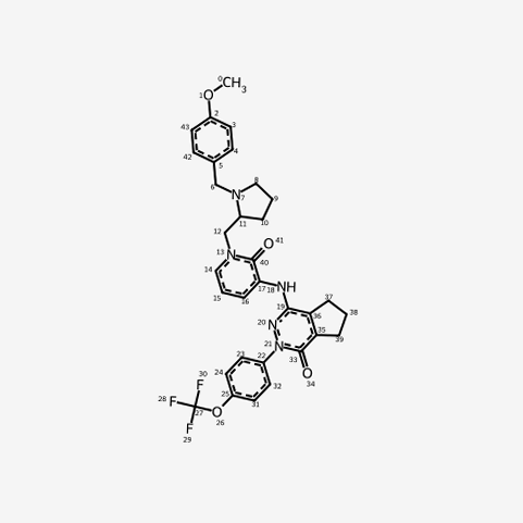 COc1ccc(CN2CCCC2Cn2cccc(Nc3nn(-c4ccc(OC(F)(F)F)cc4)c(=O)c4c3CCC4)c2=O)cc1